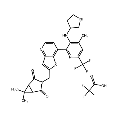 Cc1cc(C(F)(F)F)nc(-c2ccnc3cc(CN4C(=O)C5C(C4=O)C5(C)C)sc23)c1NC1CCNC1.O=C(O)C(F)(F)F